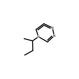 CCC(C)N1C=C=NN=C1